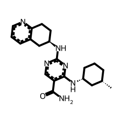 C[C@H]1CCC[C@@H](Nc2nc(N[C@@H]3CCc4ncccc4C3)ncc2C(N)=O)C1